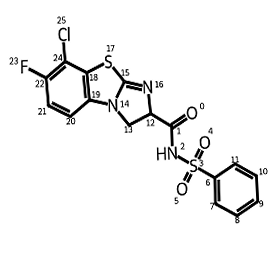 O=C(NS(=O)(=O)c1ccccc1)C1CN2C(=N1)Sc1c2ccc(F)c1Cl